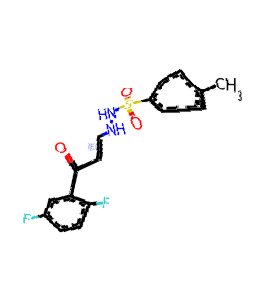 Cc1ccc(S(=O)(=O)NN/C=C/C(=O)c2cc(F)ccc2F)cc1